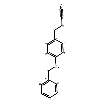 N#CCCc1ccc(OCc2ccccc2)cc1